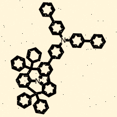 C1=CCC(C2(c3ccccc3)c3cccc4c3-n3c5c(cccc5c5cc(-c6ccc(N(c7ccc(-c8ccccc8)cc7)c7ccc(-c8ccccc8)cc7)cc6)cc2c53)C4(c2ccccc2)c2ccccc2)C=C1